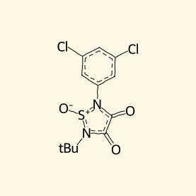 CC(C)(C)n1c(=O)c(=O)n(-c2cc(Cl)cc(Cl)c2)[s+]1[O-]